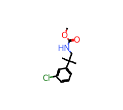 COC(=O)NCC(C)(C)c1cccc(Cl)c1